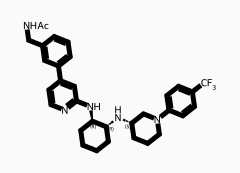 CC(=O)NCc1cccc(-c2ccnc(N[C@@H]3CCCC[C@H]3N[C@H]3CCCN(c4ccc(C(F)(F)F)cc4)C3)c2)c1